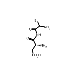 CCC(N)C(=O)NC(=O)[C@@H](N)CC(=O)O